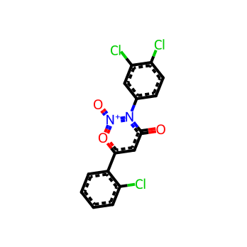 O=c1cc(-c2ccccc2Cl)o[n+](=O)n1-c1ccc(Cl)c(Cl)c1